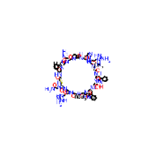 CCCC[C@H]1C(O)N(C)[C@@H](CCCC)C(=O)N[C@@H](CCCNC(=N)N)C(=O)N[C@H](C(=O)NCC(N)=O)CSCC(=O)N[C@@H](Cc2ccccc2)C(=O)N(C)[C@@H](C)C(=O)N[C@@H](CC(N)=O)C(=O)N2CCC[C@H]2C(=O)N[C@@H](Cc2cnc[nH]2)C(=O)N[C@@H](CCCNC(=N)N)C(=O)N(C)CC(=O)N[C@@H](Cc2c[nH]c3ccccc23)C(=O)N[C@@H](CO)C(=O)N[C@@H](Cc2c[nH]c3ccccc23)C(=O)N1C